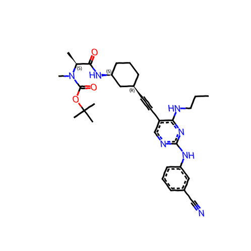 CCCNc1nc(Nc2cccc(C#N)c2)ncc1C#C[C@@H]1CCC[C@H](NC(=O)[C@H](C)N(C)C(=O)OC(C)(C)C)C1